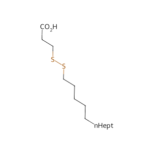 CCCCCCCCCCCCSSCCC(=O)O